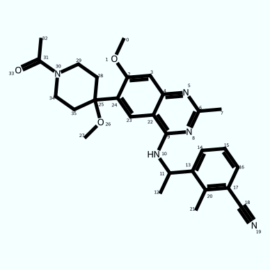 COc1cc2nc(C)nc(NC(C)c3cccc(C#N)c3C)c2cc1C1(OC)CCN(C(C)=O)CC1